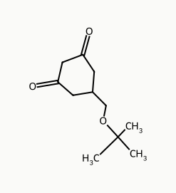 CC(C)(C)OCC1CC(=O)CC(=O)C1